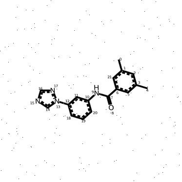 Cc1cc(C)cc(C(=O)Nc2[c]c(-n3cncn3)ccc2)c1